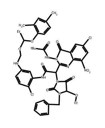 CCOC1C(=O)N(C(C(=O)Nc2cc(NCOC(CC)Oc3ccc(C)cc3C)ccc2Cl)c2nc3c([N+](=O)[O-])cc(Cl)cc3c(=O)n2NC(=O)C(C)(C)C)C(=O)N1Cc1ccccc1